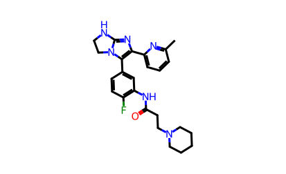 Cc1cccc(-c2nc3n(c2-c2ccc(F)c(NC(=O)CCN4CCCCC4)c2)CCN3)n1